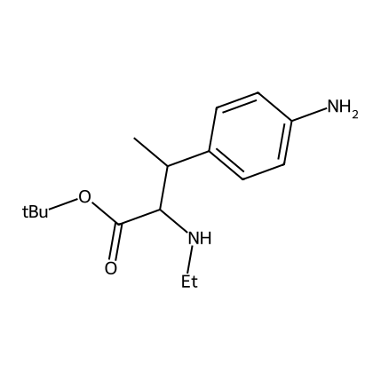 CCNC(C(=O)OC(C)(C)C)C(C)c1ccc(N)cc1